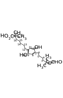 CC(C)(CCCCc1cc(O)c(CCCCCC(C)(C)C(=O)O)cc1O)OC=O